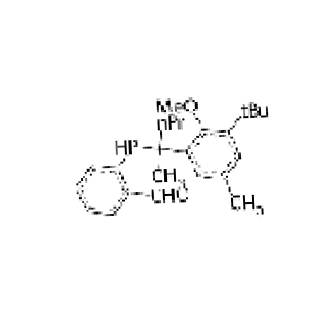 CCCC(C)(Pc1ccccc1C=O)c1cc(C)cc(C(C)(C)C)c1OC